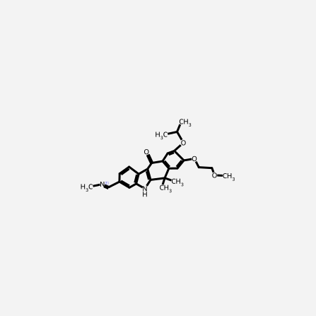 C/N=C/c1ccc2c3c([nH]c2c1)C(C)(C)c1cc(OCCOC)c(OC(C)C)cc1C3=O